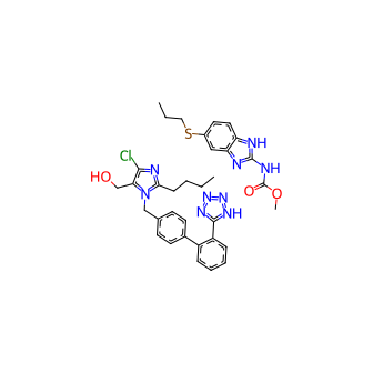 CCCCc1nc(Cl)c(CO)n1Cc1ccc(-c2ccccc2-c2nnn[nH]2)cc1.CCCSc1ccc2[nH]c(NC(=O)OC)nc2c1